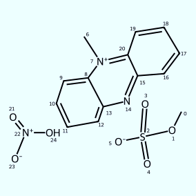 COS(=O)(=O)[O-].C[n+]1c2ccccc2nc2ccccc21.O=[N+]([O-])O